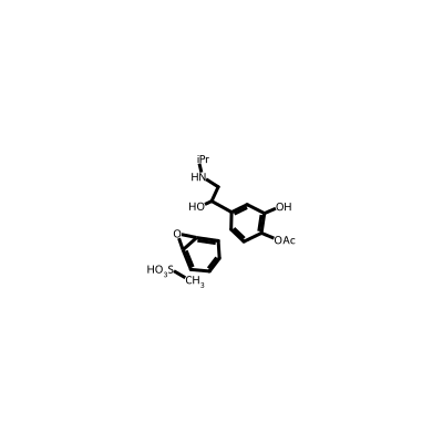 CC(=O)Oc1ccc(C(O)CNC(C)C)cc1O.CS(=O)(=O)O.c1ccc2c(c1)O2